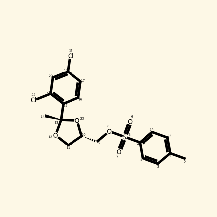 Cc1ccc(S(=O)(=O)OC[C@@H]2CO[C@](C)(c3ccc(Cl)cc3Cl)O2)cc1